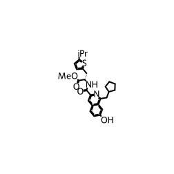 COC(=O)[C@H](Cc1ccc(C(C)C)s1)NC(=O)c1cc2ccc(O)cc2c(CC2CCCC2)n1